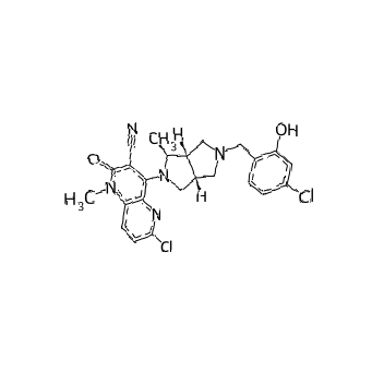 C[C@H]1[C@@H]2CN(Cc3ccc(Cl)cc3O)C[C@@H]2CN1c1c(C#N)c(=O)n(C)c2ccc(Cl)nc12